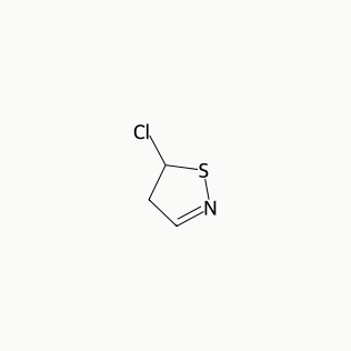 ClC1CC=NS1